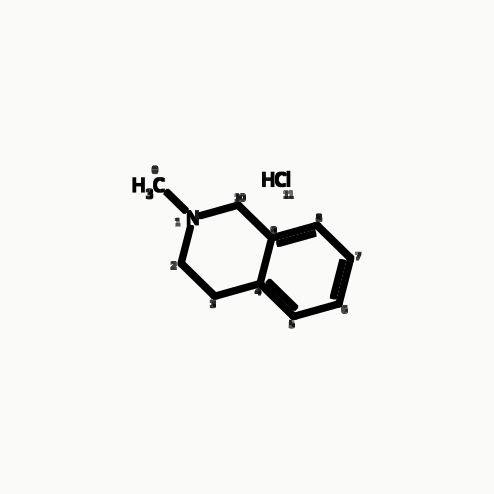 CN1CCc2ccccc2C1.Cl